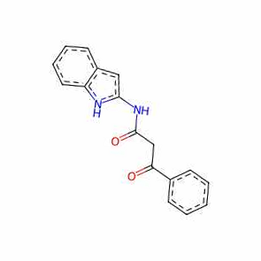 O=C(CC(=O)c1ccccc1)Nc1cc2ccccc2[nH]1